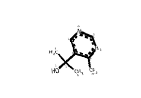 CC(C)(O)c1cn[c]nc1C(F)(F)F